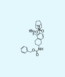 CC(C)(C)OC(=O)N1C2CCC1CN(c1ccc3c(c1F)CCC(NC(=O)OCc1ccccc1)C3)C2